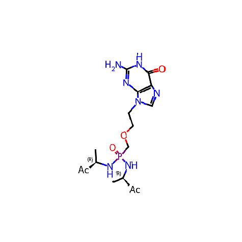 CC(=O)[C@@H](C)NP(=O)(COCCn1cnc2c(=O)[nH]c(N)nc21)N[C@H](C)C(C)=O